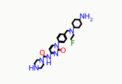 NC1CCC(N(CCF)Cc2ccc(-n3ccc(NC(=O)N4CCNCC4)nc3=O)cc2)CC1